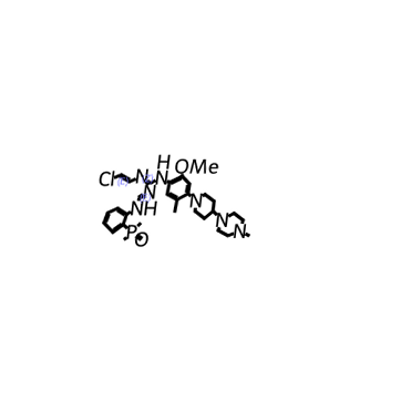 COc1cc(N2CCC(N3CCN(C)CC3)CC2)c(C)cc1NC(=N/C=C/Cl)/N=C/Nc1ccccc1P(C)(C)=O